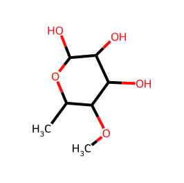 COC1C(C)OC(O)C(O)C1O